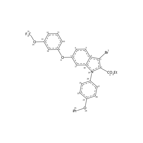 CCOC(=O)c1c(Br)c2ccc(Oc3cccc(OC(F)(F)F)c3)cc2n1-c1ccc(OC(C)C)cc1